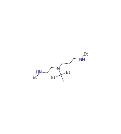 CCNCCCN(CCNCC)C(C)(CC)CC